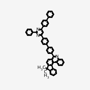 CC1(C)c2ccccc2-c2c1ccc1c(-c3ccc(-c4ccc(-c5cc(-c6ccc(-c7ccccc7)cc6)nc(-c6ccccc6)n5)cc4)cc3)nc3ccccc3c21